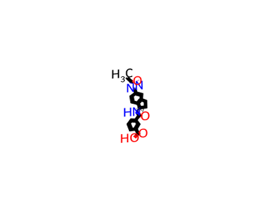 CCc1nc(-c2ccc3c(c2)CC[C@H]3NC(=O)c2cccc(C(=O)O)c2)no1